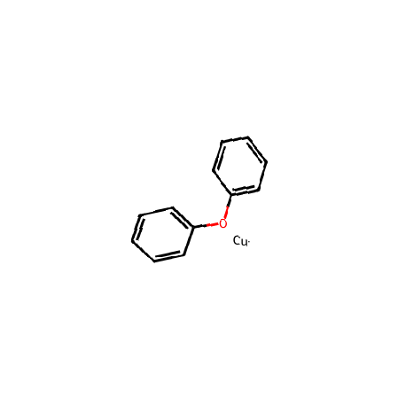 [Cu].c1ccc(Oc2ccccc2)cc1